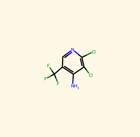 Nc1c(C(F)(F)F)cnc(Cl)c1Cl